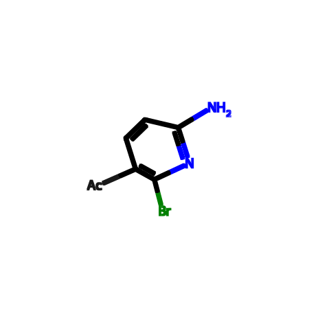 CC(=O)c1ccc(N)nc1Br